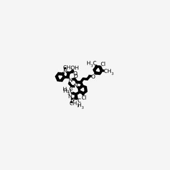 Cc1cc(OCCCc2c3n(c4c(-c5c(C)nn(C)c5C)c(Cl)ccc24)C(C)CN(c2c(C(=O)O)n(C)c4ccccc24)C3=O)cc(C)c1Cl